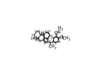 COc1ccc(C(C)n2cc3c4c(cccc42)[C@H]2CCCN[C@@H]2C3)cc1OC